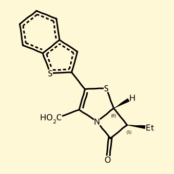 CC[C@H]1C(=O)N2C(C(=O)O)=C(c3cc4ccccc4s3)S[C@H]12